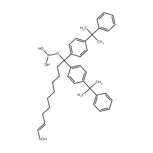 CCCCCCCC/C=C/CCCCCCCC(OP(O)O)(c1ccc(C(C)(C)c2ccccc2)cc1)c1ccc(C(C)(C)c2ccccc2)cc1